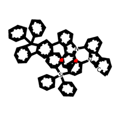 c1ccc(C2(c3ccccc3)c3ccccc3-c3ccc(-c4cccc5c4c4ccccc4n5-c4cccc5c6ccccc6n(-c6ccc([Si](c7ccccc7)(c7ccccc7)c7ccccc7)cc6)c45)cc32)cc1